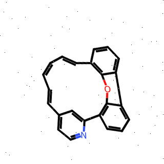 C1=C\C=C\c2cccc3c2oc2c(cccc23)-c2cc(ccn2)/C=C/1